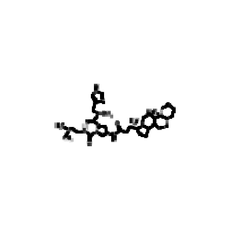 CN(C)CCNC(=O)[C@@H]1C[C@H](NC(=O)CCC2CCC3C4CCC5CCCC[C@]5(C)C4CC[C@]23C)CN1C(=O)C(N)Cc1c[nH]cn1